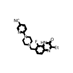 CCc1nc2ccc(CN3CCN(c4ccc(C#N)cn4)CC3)c(F)c2[nH]c1=O